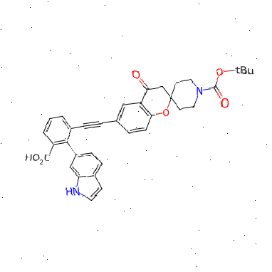 CC(C)(C)OC(=O)N1CCC2(CC1)CC(=O)c1cc(C#Cc3cccc(C(=O)O)c3-c3ccc4cc[nH]c4c3)ccc1O2